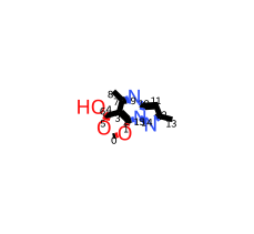 COc1c(C(=O)O)c(C)nc2cc(C)nn12